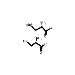 N[C@@H](C[SeH])C(=O)[O-].N[C@@H](C[SeH])C(=O)[O-].[Cu+2]